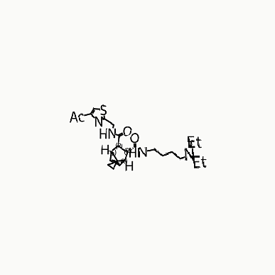 CCN(CC)CCCCNC(=O)[C@H]1[C@H](C(=O)NCc2nc(C(C)=O)cs2)[C@@H]2C=C[C@H]1C21CC1